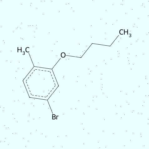 CCCCOc1cc(Br)ccc1C